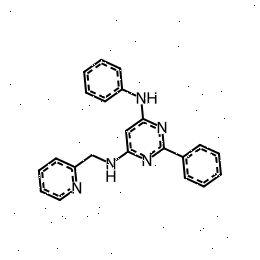 c1ccc(Nc2cc(NCc3ccccn3)nc(-c3ccccc3)n2)cc1